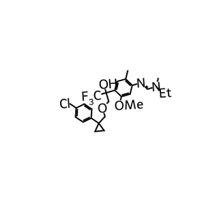 CCN(C)/C=N/c1cc(OC)c(C(O)(COCC2(c3ccc(Cl)cc3)CC2)C(F)(F)F)cc1C